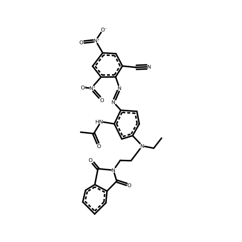 CCN(CCN1C(=O)c2ccccc2C1=O)c1ccc(/N=N/c2c(C#N)cc([N+](=O)[O-])cc2[N+](=O)[O-])c(NC(C)=O)c1